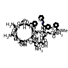 CC[C@@H](O)[C@H](NC(=O)CCN(CCOC(N)=O)C(=O)n1nc(/C=C/c2ccccn2)c2ccc(Sc3ccccc3C(=O)NC)cc21)C(=O)N[C@@H](CCN)C(=O)N[C@H]1CCNC(=O)[C@H]([C@@H](C)O)NC(=O)[C@H](CCN)NC(=O)[C@H](CCN)NC(=O)[C@H](CC(C)C)NC(=O)[C@@H](Cc2ccccc2)NC(=O)[C@H](CCN)NC1=O